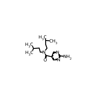 CC(C)CCN(CCC(C)C)C(=O)c1cnc(N)nc1